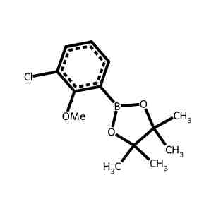 COc1c(Cl)cccc1B1OC(C)(C)C(C)(C)O1